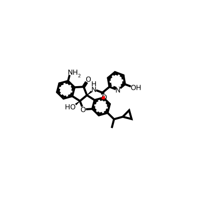 CC(c1ccc2c(c1)O[C@]1(O)c3cccc(N)c3C(=O)[C@]21NC(=O)c1cccc(O)n1)C1CC1